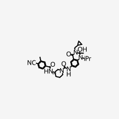 Cc1cc(C(=O)N[C@@H]2CCCN(C(=O)Nc3ccc4c(c3)C(=O)N(CC3CC3)C(C)(O)N4C(C)C)C2)ccc1C#N